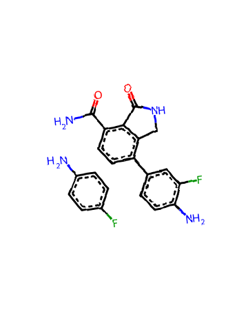 NC(=O)c1ccc(-c2ccc(N)c(F)c2)c2c1C(=O)NC2.Nc1ccc(F)cc1